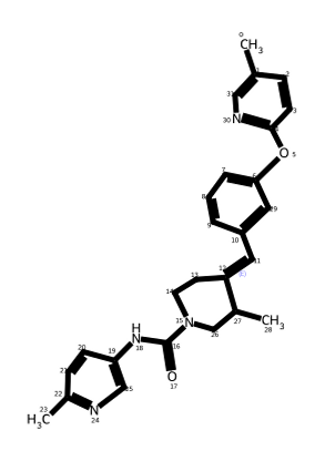 Cc1ccc(Oc2cccc(/C=C3\CCN(C(=O)Nc4ccc(C)nc4)CC3C)c2)nc1